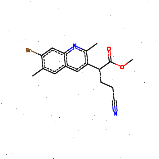 COC(=O)C(CCC#N)c1cc2cc(C)c(Br)cc2nc1C